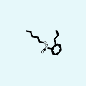 C=CCc1ccccc1[PH](=O)OCCCCC